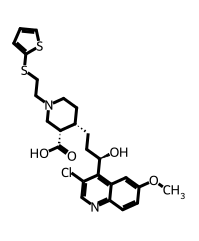 COc1ccc2ncc(Cl)c([C@H](O)CC[C@H]3CCN(CCSc4cccs4)C[C@H]3C(=O)O)c2c1